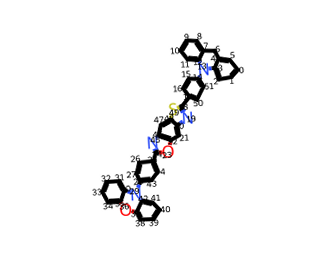 c1ccc2c(c1)Cc1ccccc1N2c1ccc(-c2nc3cc4oc(-c5ccc(N6c7ccccc7Oc7ccccc76)cc5)nc4cc3s2)cc1